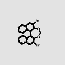 Brc1cc2ccccc2c2c1OCOc1c(Br)cc3ccccc3c1-2